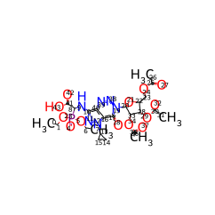 CCOP(=O)(OCC)C(Nc1nn(C2CC2)c2c(=O)n(C3OC(COC(C)=O)C(OC(C)=O)C3OC(C)=O)nnc12)C(=O)O